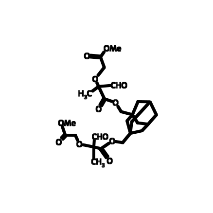 COC(=O)COC(C)(C=O)C(=O)OCC12CC3CC(C1)CC(COC(=O)C(C)(C=O)OCC(=O)OC)(C3)C2